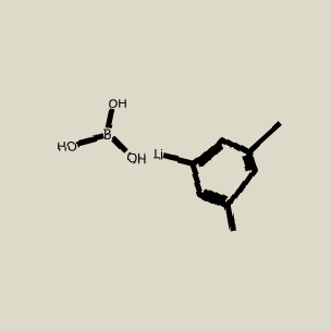 OB(O)O.[Li][c]1cc(C)cc(C)c1